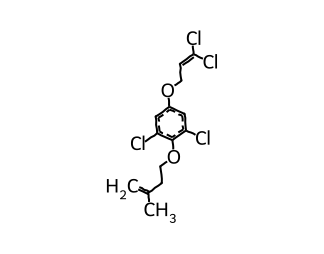 C=C(C)CCOc1c(Cl)cc(OCC=C(Cl)Cl)cc1Cl